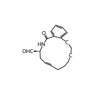 O=C[C@@H]1C/C=C/CCCCCCc2ccccc2C(=O)N1